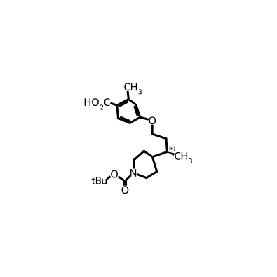 Cc1cc(OCC[C@@H](C)C2CCN(C(=O)OC(C)(C)C)CC2)ccc1C(=O)O